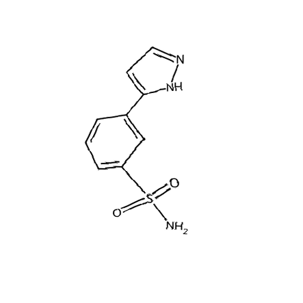 NS(=O)(=O)c1cccc(-c2ccn[nH]2)c1